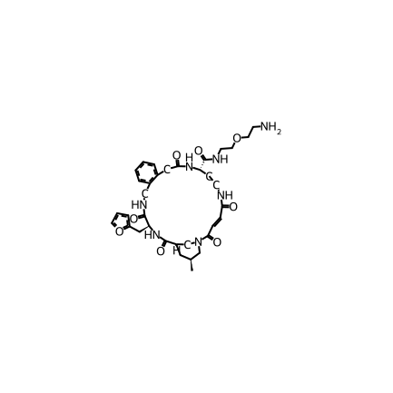 C[C@H]1C[C@@H]2CN(C1)C(=O)/C=C/C(=O)NCC[C@@H](C(=O)NCCOCCN)NC(=O)Cc1ccccc1CNC(=O)[C@H](Cc1ccco1)NC2=O